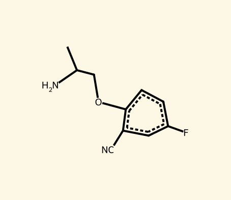 CC(N)COc1ccc(F)cc1C#N